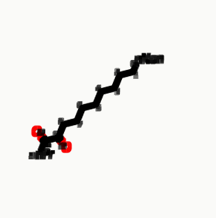 CCCCCCCCCCCCCCCCCC(=O)C(=O)CCC